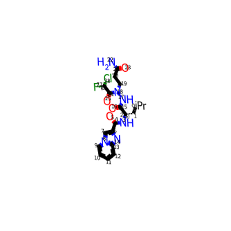 CC(C)C[C@H](NC(=O)c1cn2ccccc2n1)C(=O)NN(CCC(N)=O)C(=O)[C@@H](F)Cl